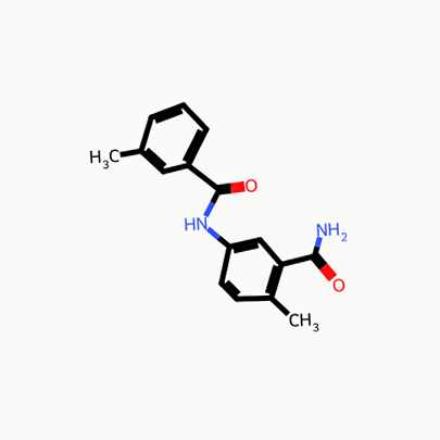 Cc1cccc(C(=O)Nc2ccc(C)c(C(N)=O)c2)c1